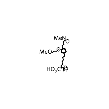 CNC(=O)CCCc1ccc(CCCCCCC(C(=O)O)(C(C)C)C(C)C)cc1OCCCOC